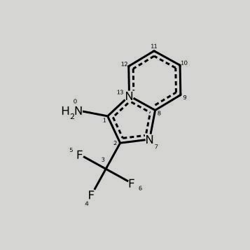 Nc1c(C(F)(F)F)nc2ccccn12